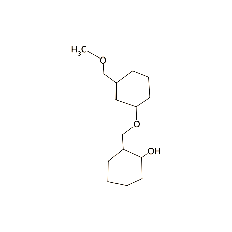 COCC1CCCC(OCC2CCCCC2O)C1